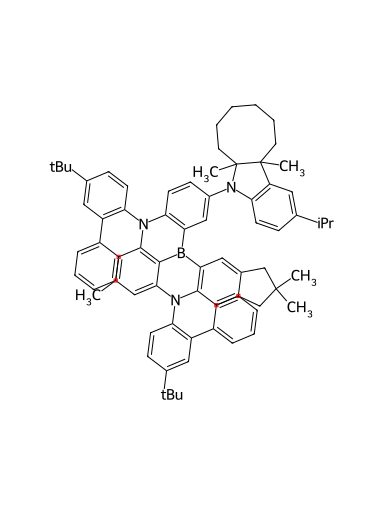 Cc1cc2c3c(c1)N(c1ccc(C(C)(C)C)cc1-c1ccccc1)c1cc4c(cc1B3c1cc(N3c5ccc(C(C)C)cc5C5(C)CCCCCCC35C)ccc1N2c1ccc(C(C)(C)C)cc1-c1ccccc1)CC(C)(C)C4